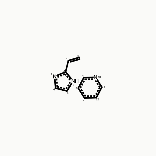 C=Cc1ncc[nH]1.c1ccncc1